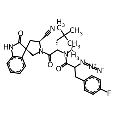 CN(C(=O)C(Cc1ccc(F)cc1)N=[N+]=[N-])[C@@H](CC(C)(C)C)C(=O)N1C[C@]2(C[C@H]1C#N)C(=O)Nc1ccccc12